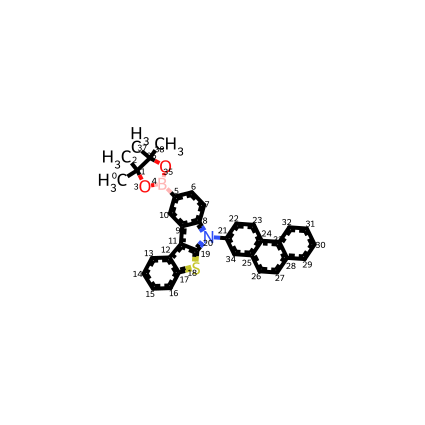 CC1(C)OB(c2ccc3c(c2)c2c4ccccc4sc2n3-c2ccc3c(ccc4ccccc43)c2)OC1(C)C